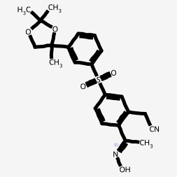 C/C(=N\O)c1ccc(S(=O)(=O)c2cccc(C3(C)COC(C)(C)O3)c2)cc1CC#N